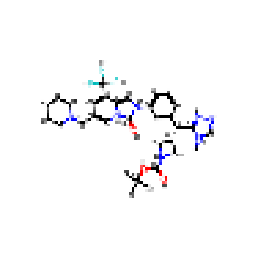 Cn1cnnc1[C@@H](c1cccc(-n2cc3c(C(F)(F)F)cc(CN4CCCCC4)cn3c2=O)c1)C1CN(C(=O)OC(C)(C)C)C1